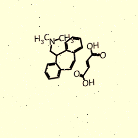 CN(C)CC1c2ccccc2C=Cc2ccccc21.O=C(O)C=CC(=O)O